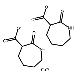 O=C([O-])C1CCCCNC1=O.O=C([O-])C1CCCCNC1=O.[Ca+2]